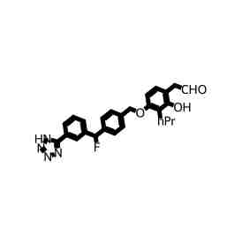 CCCc1c(OCc2ccc(C(F)c3cccc(-c4nnn[nH]4)c3)cc2)ccc(CC=O)c1O